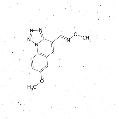 CON=Cc1cc2cc(OC)ccc2n2nnnc12